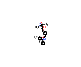 Cc1ccc(C(NC(=O)Cc2ccc3oc(CC(O)c4c(C)noc4C)cc3c2)c2ccccc2)c(C)c1